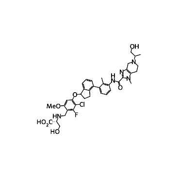 COc1cc(OC2CCc3c(-c4cccc(NC(=O)c5nc6c(n5C)CCN(C(C)CO)C6)c4C)cccc32)c(Cl)c(F)c1CN[C@H](CO)C(=O)O